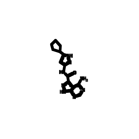 Nc1ncnc2[nH]nc(C(=O)Nc3cc(C4CCCC4)[nH]n3)c12